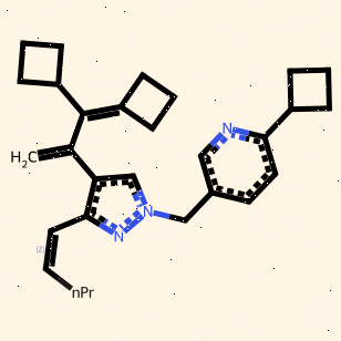 C=C(C(=C1CCC1)C1CCC1)c1cn(Cc2ccc(C3CCC3)nc2)nc1/C=C\CCC